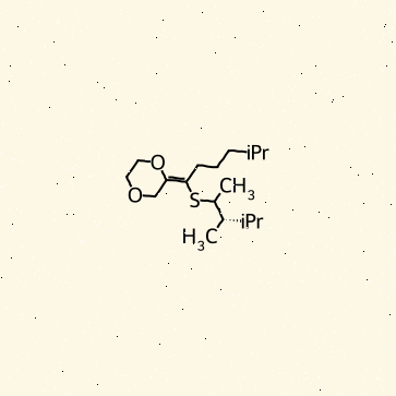 CC(C)CCC/C(SC(C)[C@@H](C)C(C)C)=C1/COCCO1